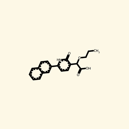 CCCOC(C(=O)O)c1ccc(-c2ccc3ccccc3c2)[nH]c1=O